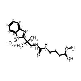 CCOC(O)CCCNC(=O)NCC(C)(C)c1nc2ccccc2n1C(=O)O